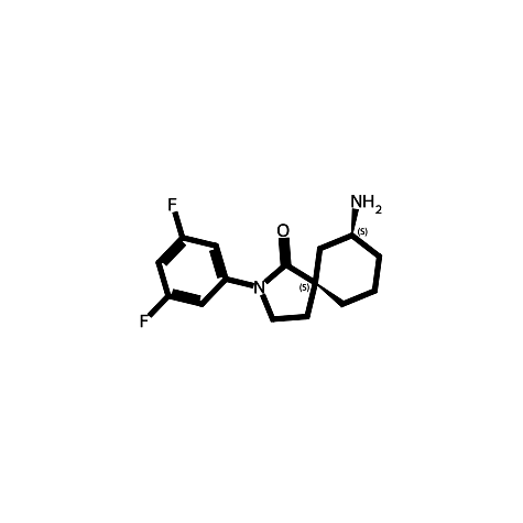 N[C@H]1CCC[C@]2(CCN(c3cc(F)cc(F)c3)C2=O)C1